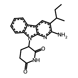 CCC(C)c1cc2c3ccccc3n(C3CCC(=O)NC3=O)c2nc1N